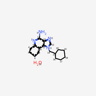 Nc1nc2ccccc2c2c1ncn2CC1CCCCC1.O